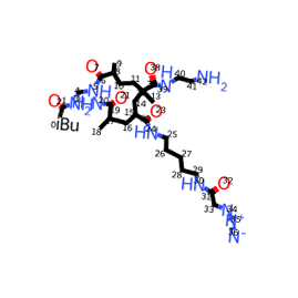 CCC(C)C(=O)NCNC(=O)C(C)CCC(C)(CC(CC(C)C(N)=O)C(=O)NCCCCCNC(=O)CN=[N+]=[N-])C(=O)NCCN